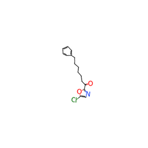 O=C(CCCCCCc1ccccc1)c1ncc(Cl)o1